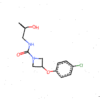 CC(O)CNC(=O)N1CC(Oc2ccc(Cl)cc2)C1